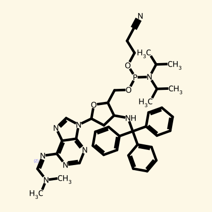 CC(C)N(C(C)C)P(OCCC#N)OCC1OC(n2cnc3c(/N=C\N(C)C)ncnc32)CC1NC(c1ccccc1)(c1ccccc1)c1ccccc1